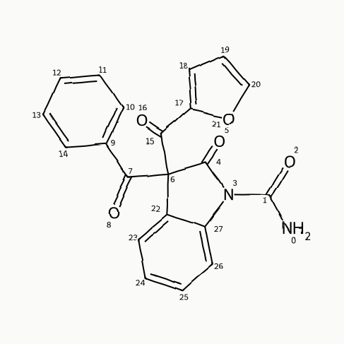 NC(=O)N1C(=O)C(C(=O)c2ccccc2)(C(=O)c2ccco2)c2ccccc21